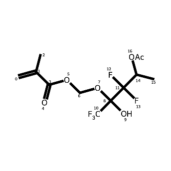 C=C(C)C(=O)OCOC(O)(C(F)(F)F)C(F)(F)C(C)OC(C)=O